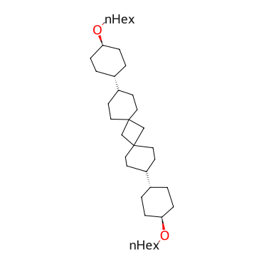 CCCCCCO[C@H]1CC[C@H](C2CCC3(CC2)CC2(CCC([C@H]4CC[C@H](OCCCCCC)CC4)CC2)C3)CC1